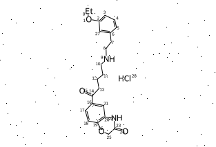 CCOc1cccc(CCNCCCCC(=O)c2ccc3c(c2)NC(=O)CO3)c1.Cl